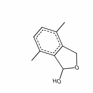 Cc1ccc(C)c2c1COC2O